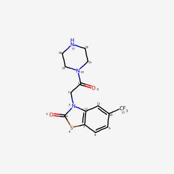 O=C(Cn1c(=O)sc2ccc(C(F)(F)F)cc21)N1CCNCC1